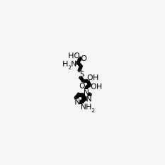 Nc1nccc2c1ncn2C1OC(CSCCC(N)C(=O)O)C(O)C1O